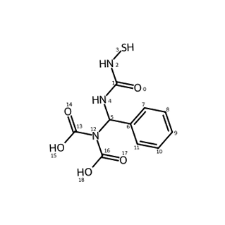 O=C(NS)NC(c1ccccc1)N(C(=O)O)C(=O)O